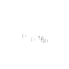 CC[Si]1(CC)CCCCO1.N.N